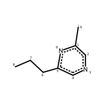 [CH2]c1cncc(CCC)n1